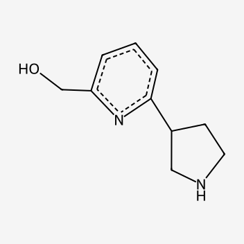 OCc1cccc(C2CCNC2)n1